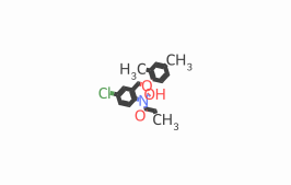 CCC(=O)N(O)c1ccc(Cl)cc1COc1ccc(C)cc1C